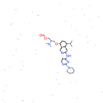 CC(C)c1ccc(OCC(COC=O)N(C)C)c2cnc(Nc3ccnc(N4CCCCC4)n3)cc12